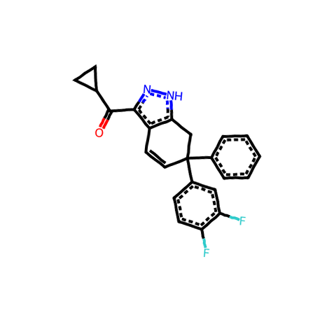 O=C(c1n[nH]c2c1C=CC(c1ccccc1)(c1ccc(F)c(F)c1)C2)C1CC1